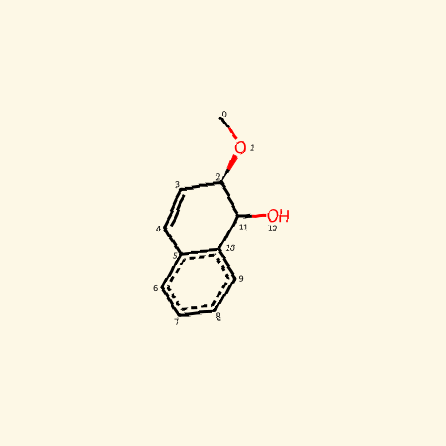 CO[C@@H]1C=Cc2ccccc2C1O